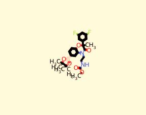 COC(=O)NCCN1C(=O)C(C)(c2cc(F)cc(F)c2)Oc2ccc(B3OC(C)(C)C(C)(C)O3)cc21